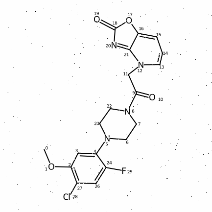 COc1cc(N2CCN(C(=O)Cn3cccc4oc(=O)nc3-4)CC2)c(F)cc1Cl